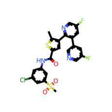 Cc1sc(C(=O)Nc2cc(Cl)cc(S(C)(=O)=O)c2)cc1-c1ncc(F)cc1-c1cncc(F)c1